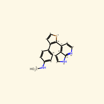 O=C(O)Nc1ccc(-c2ccsc2-c2ccnc3[nH]ccc23)cc1